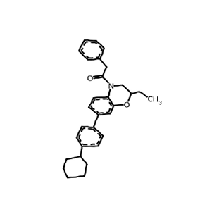 CCC1CN(C(=O)Cc2ccccc2)c2ccc(-c3ccc(C4CCCCC4)cc3)cc2O1